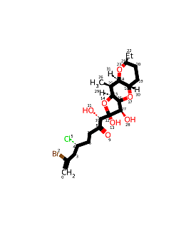 C=C(Br)C[C@H](Cl)CCC(=O)[C@H](O)C1(O)O[C@@H]2C(O[C@H]3CC[C@H](CC)O[C@@H]3[C@@H]2C)[C@H]1O